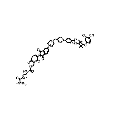 C[C@H](N)C(=O)NCCNC(=O)OCN1C(=O)CCC(N2C(=O)c3ccc(N4CCN(CC5CCN(c6ccc(C(=O)NC7C(C)(C)C(Oc8ccc(C#N)c(Cl)c8)C7(C)C)cc6)CC5)CC4)cc3C2=O)C1=O